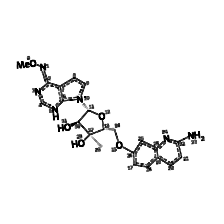 CON=c1nc[nH]c2c1ccn2[C@@H]1O[C@H](COc2ccc3ccc(N)nc3c2)[C@@](C)(O)[C@H]1O